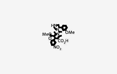 COC(=O)C1=C(C)N(C(C)N2CCNCC2c2cccc(OC)c2)C(C)=C(C(=O)O)C1c1cccc([N+](=O)[O-])c1